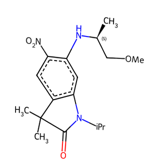 COC[C@H](C)Nc1cc2c(cc1[N+](=O)[O-])C(C)(C)C(=O)N2C(C)C